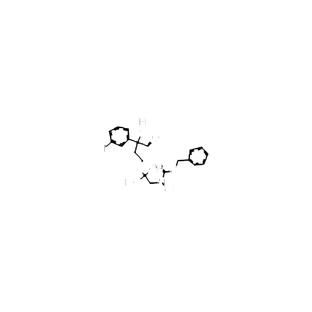 CN(CC(C)(C)OCCC(C)(C=O)c1cccc(I)c1)C(=O)OCc1ccccc1